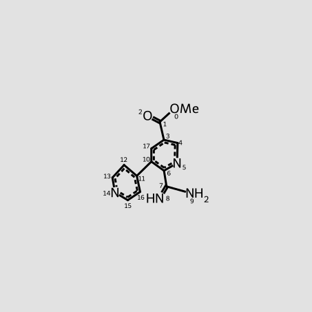 COC(=O)c1cnc(C(=N)N)c(-c2ccncc2)c1